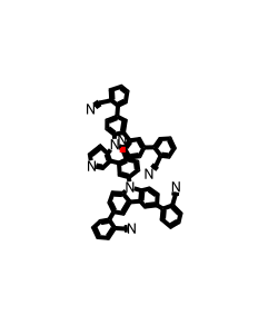 N#Cc1ccccc1-c1ccc2c(c1)c1cc(-c3ccccc3C#N)ccc1n2-c1ccc(C#N)c(-c2cnccc2-n2c3ccc(-c4ccccc4C#N)cc3c3cc(-c4ccccc4C#N)ccc32)c1